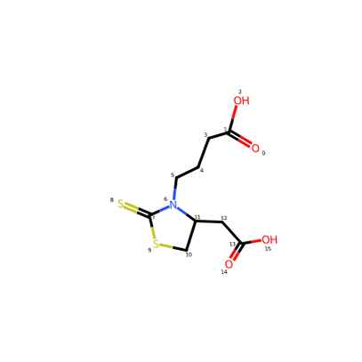 O=C(O)CCCN1C(=S)SCC1CC(=O)O